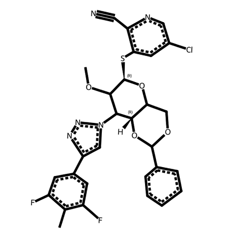 COC1C(n2cc(-c3cc(F)c(C)c(F)c3)nn2)[C@H]2OC(c3ccccc3)OCC2O[C@@H]1Sc1cc(Cl)cnc1C#N